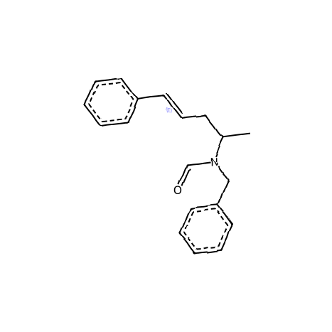 CC(C/C=C/c1ccccc1)N(C=O)Cc1ccccc1